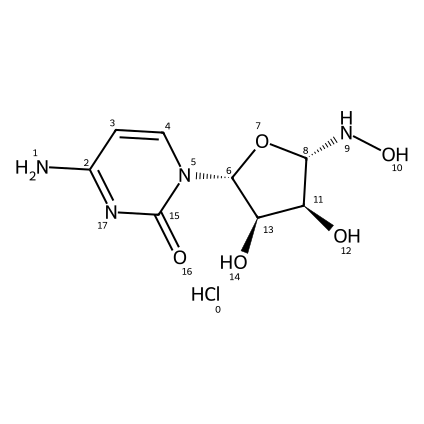 Cl.Nc1ccn([C@@H]2O[C@H](NO)[C@@H](O)[C@H]2O)c(=O)n1